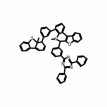 CN1c2c(-c3cccc(C4C=CC=C5c6ccccc6SC54C)c3)cccc2-c2c(oc3ccccc23)C1c1cccc(-c2nc(-c3ccccc3)nc(-c3ccccc3)n2)c1